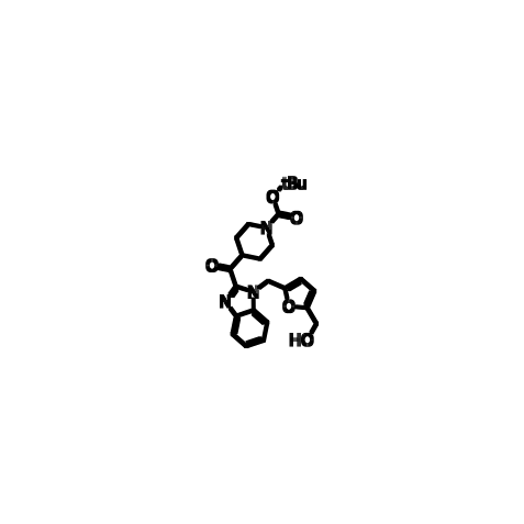 CC(C)(C)OC(=O)N1CCC(C(=O)c2nc3ccccc3n2Cc2ccc(CO)o2)CC1